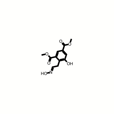 COC(=O)c1cc(O)c(C/C=N/O)c(C(=O)OC)c1